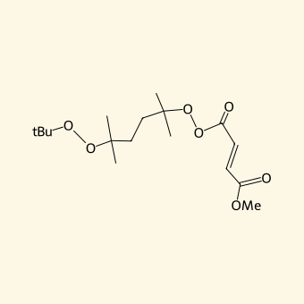 COC(=O)/C=C/C(=O)OOC(C)(C)CCC(C)(C)OOC(C)(C)C